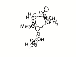 COCOc1cc(OCC(O)COS(C)(=O)=O)cc2c1C(=O)O[C@@H](C)[C@H](C)/C=C\C(OC(=O)c1ccccc1)[C@H]1OC(C)(C)OC1C/C=C/2